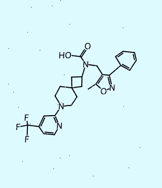 Cc1onc(-c2ccccc2)c1CN(C(=O)O)C1CC2(CCN(c3cc(C(F)(F)F)ccn3)CC2)C1